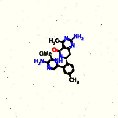 COc1nc(-c2cc(C)ccc2[C@H]2Cc3nc(N)nc(C)c3C(=O)N2)cnc1N